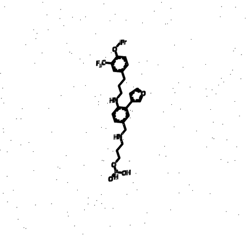 CC(C)Oc1ccc(CCCNc2ccc(CNCCCO[PH](=O)O)cc2-c2ccoc2)cc1C(F)(F)F